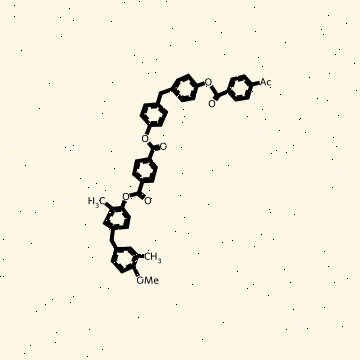 COc1ccc(Cc2ccc(OC(=O)c3ccc(C(=O)Oc4ccc(Cc5ccc(OC(=O)c6ccc(C(C)=O)cc6)cc5)cc4)cc3)c(C)c2)cc1C